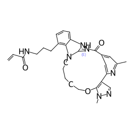 C=CC(=O)NCCCc1cccc2c1N1CCCCCOc3c(cnn3C)-c3cc(cc(C)n3)C(=O)/N=C/1N2